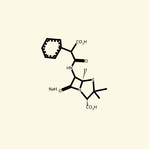 CC1(C)S[C@@H]2C(NC(=O)C(C(=O)O)c3ccccc3)C(=O)N2[C@H]1C(=O)O.[NaH]